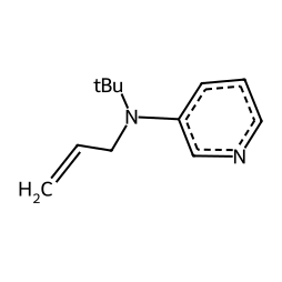 C=CCN(c1cccnc1)C(C)(C)C